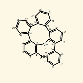 Nc1cccc2c1[nH]c1c(-c3ccccc3)cccc1c1ccccc1c1ccccc21